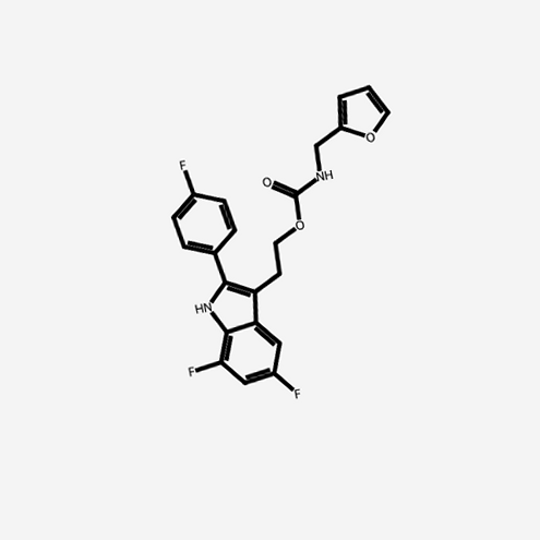 O=C(NCc1ccco1)OCCc1c(-c2ccc(F)cc2)[nH]c2c(F)cc(F)cc12